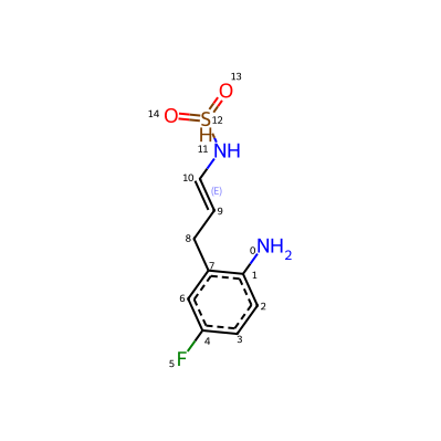 Nc1ccc(F)cc1C/C=C/N[SH](=O)=O